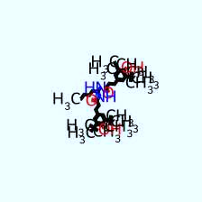 CCCCCC(NC(=O)CCc1cc(C(C)(C)C)c(O)c(C(C)(C)C)c1)NC(=O)CCc1cc(C(C)(C)C)c(O)c(C(C)(C)C)c1